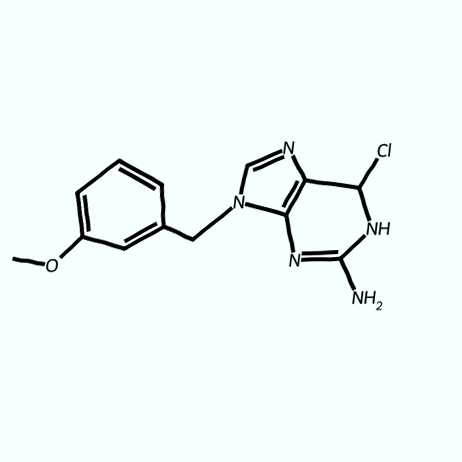 COc1cccc(Cn2cnc3c2N=C(N)NC3Cl)c1